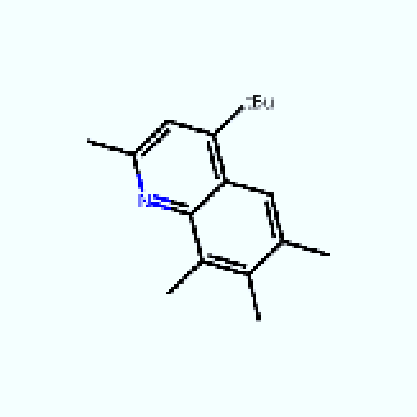 Cc1cc(C(C)(C)C)c2cc(C)c(C)c(C)c2n1